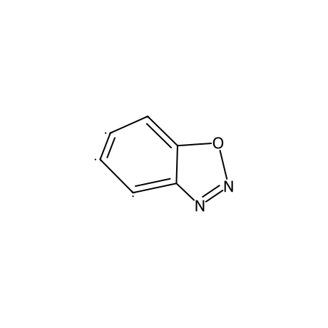 [c]1[c]cc2onnc2[c]1